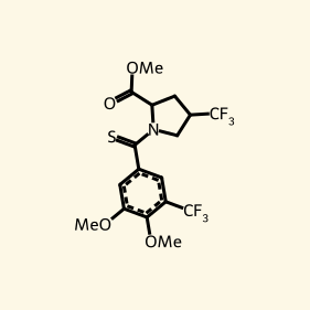 COC(=O)C1CC(C(F)(F)F)CN1C(=S)c1cc(OC)c(OC)c(C(F)(F)F)c1